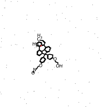 C/C=C(\C=C/CC)c1cccc2c1-c1c(-c3ccccc3)cccc1C2(C1=CC=C(OCCO)CC1)c1ccc(OCCN=O)cc1